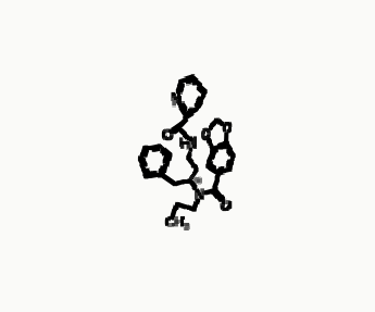 CCCN(C(=O)c1ccc2c(c1)OCO2)[C@H](CCNC(=O)c1ccccn1)Cc1ccccc1